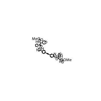 COC(=O)N[C@H](C(=O)N1C[Si](C)(C)C[C@H]1c1nc2cc(C#Cc3ccc(-c4cnc([C@@H]5CCCN5C(=O)[C@@H](NC(=O)OC)C5CCOCC5)[nH]4)cc3)ccc2[nH]1)C(C)C